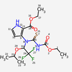 CCOC(=O)NC(=S)N(c1cc[nH]c1C(=O)OCC)C(OC(C)C)C(F)(F)F